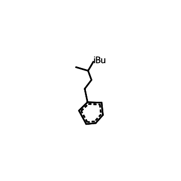 CCC(C)C(C)CCc1ccccc1